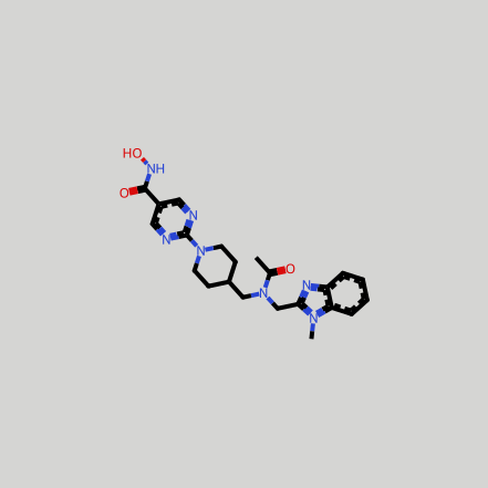 CC(=O)N(Cc1nc2ccccc2n1C)CC1CCN(c2ncc(C(=O)NO)cn2)CC1